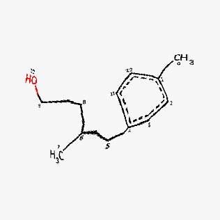 Cc1ccc(CC(C)CCO)cc1